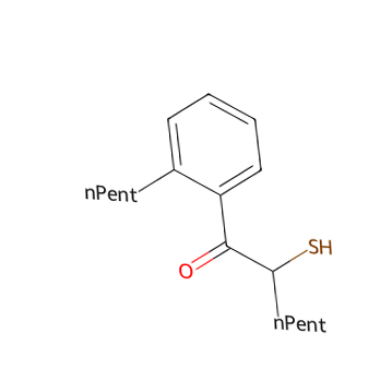 CCCCCc1ccccc1C(=O)C(S)CCCCC